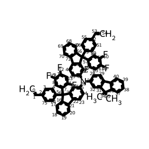 C=Cc1ccc(C2(c3cc(F)c(F)cc3F)c3ccccc3-c3ccc(N(c4ccc5c(c4)C(C)(C)c4ccccc4-5)c4ccc5c(c4)C(c4ccc(C=C)cc4)(c4cc(F)c(F)cc4F)c4ccccc4-5)cc32)cc1